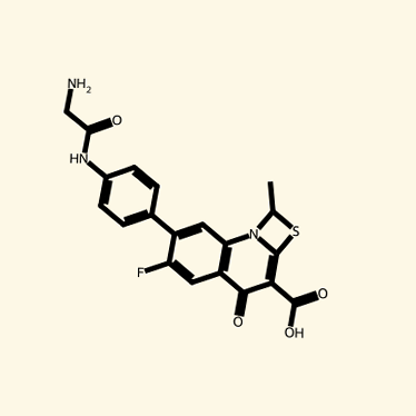 CC1Sc2c(C(=O)O)c(=O)c3cc(F)c(-c4ccc(NC(=O)CN)cc4)cc3n21